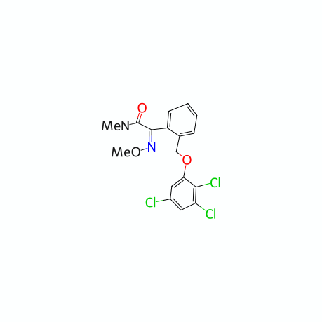 CNC(=O)C(=NOC)c1ccccc1COc1cc(Cl)cc(Cl)c1Cl